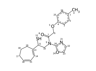 Cc1ccc(OCC(=O)N(CC(S)C2=CC=CCCC2)c2ncco2)cc1